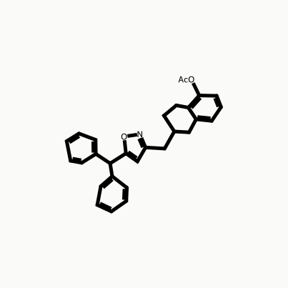 CC(=O)Oc1cccc2c1CCC(Cc1cc(C(c3ccccc3)c3ccccc3)on1)C2